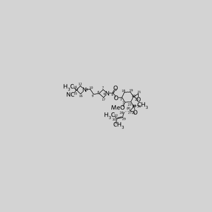 COC1C(OC(=O)N2CC(CCN3CC(C)(C#N)C3)C2)CCC2(CO2)C1[C@@]1(C)O[C@@H]1CC=C(C)C